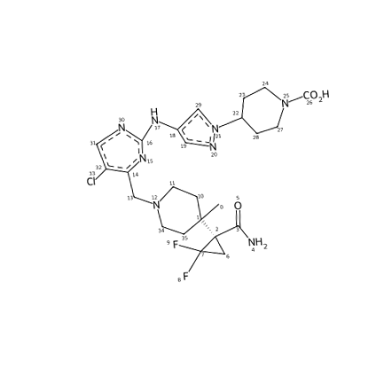 CC1([C@]2(C(N)=O)CC2(F)F)CCN(Cc2nc(Nc3cnn(C4CCN(C(=O)O)CC4)c3)ncc2Cl)CC1